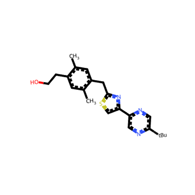 Cc1cc(Cc2nc(-c3cnc(C(C)(C)C)cn3)cs2)c(C)cc1CCO